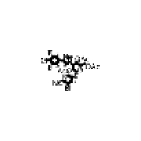 CC(=O)OCC1O[C@H](Sc2cnc(C#N)c(Br)c2)C(OC(C)=O)C(n2cc(-c3cc(F)c(Cl)c(F)c3)nn2)[C@H]1OC(C)=O